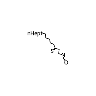 CCCCCCCCCCCCC(=S)CCN=C=O